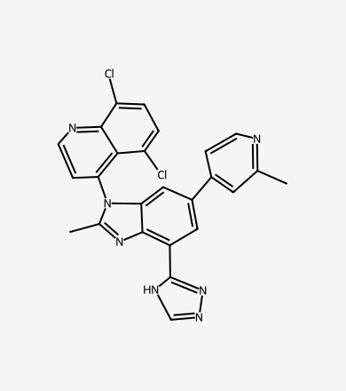 Cc1cc(-c2cc(-c3nnc[nH]3)c3nc(C)n(-c4ccnc5c(Cl)ccc(Cl)c45)c3c2)ccn1